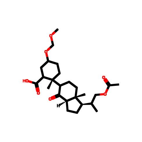 COCOC1CC[C@](C)(C2CC[C@]3(C)[C@@H](C(C)COC(C)=O)CC[C@H]3C2=O)C(C(=O)O)C1